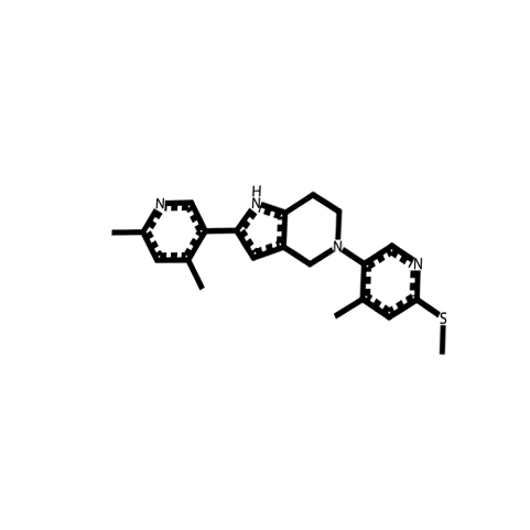 CSc1cc(C)c(N2CCc3[nH]c(-c4cnc(C)cc4C)cc3C2)cn1